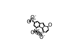 O=C1C=CC([N+](=O)[O-])=C2C1=Cc1cc([N+](=O)[O-])cc([N+](=O)[O-])c12